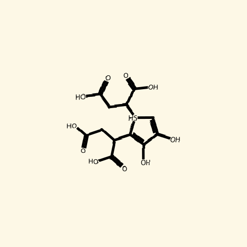 O=C(O)CC(C(=O)O)C1=C(O)C(O)=C[SH]1C(CC(=O)O)C(=O)O